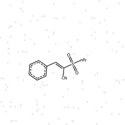 CCCS(=O)(=O)/C(C#N)=C/c1ccccc1